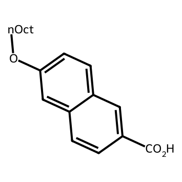 CCCCCCCCOc1ccc2cc(C(=O)O)ccc2c1